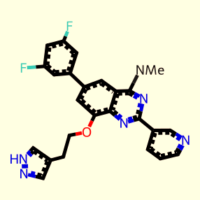 CNc1nc(-c2cccnc2)nc2c(OCCc3cn[nH]c3)cc(-c3cc(F)cc(F)c3)cc12